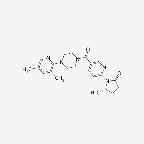 Cc1cnc(N2CCN(C(=O)c3ccc(N4C(=O)CC[C@@H]4C)nc3)CC2)c(C)c1